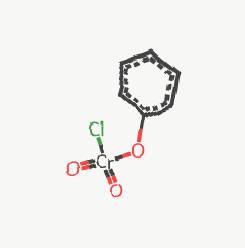 [O]=[Cr](=[O])([Cl])[O]c1ccccc1